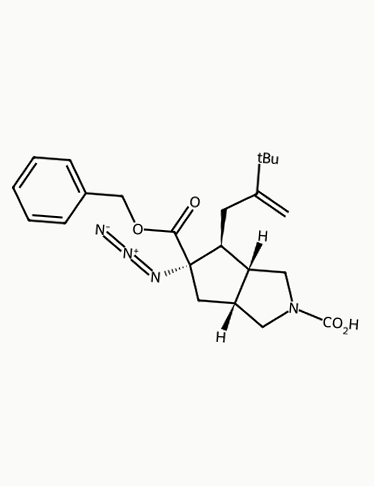 C=C(C[C@H]1[C@@H]2CN(C(=O)O)C[C@@H]2C[C@@]1(N=[N+]=[N-])C(=O)OCc1ccccc1)C(C)(C)C